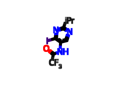 CC(C)c1ncc(NC(=O)C(F)(F)F)c(I)n1